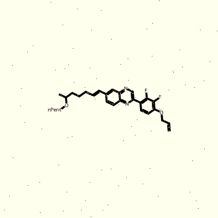 C=CCOc1ccc(-c2cnc3cc(/C=C/CCCC(C)OCCCCC)ccc3n2)c(F)c1F